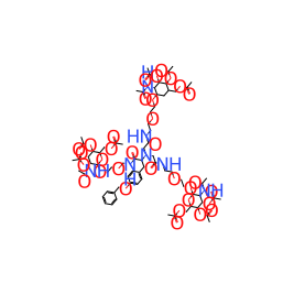 CC(=O)NC1C(OCCOCCNC(=O)CN(CC(=O)NCCOCCOC2OC(COC(C)=O)C(OC(C)=O)C(OC(C)=O)C2NC(C)=O)C(Cc2ccc(OCc3ccccc3)cc2)C(=O)NCOCCOC2OC(COC(C)=O)C(OC(C)=O)CC2(NC(C)=O)OC(C)=O)CC(COC(C)=O)C(OC(C)=O)C1OC(C)=O